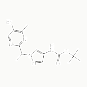 Cc1nc(C(C)n2cc(NC(=O)OC(C)(C)C)cn2)ncc1Br